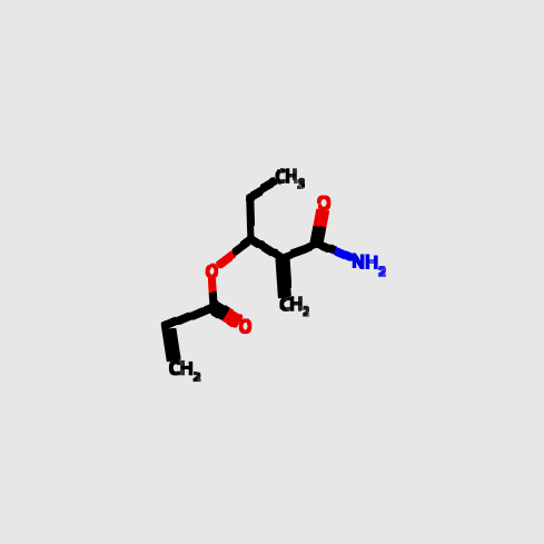 C=CC(=O)OC(CC)C(=C)C(N)=O